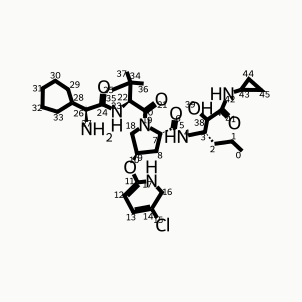 CCC[C@H](NC(=O)[C@@H]1C[C@@H](OC2=CC=C(Cl)CN2)CN1C(=O)[C@@H](NC(=O)[C@@H](N)C1CCCCC1)C(C)(C)C)C(O)C(=O)NC1CC1